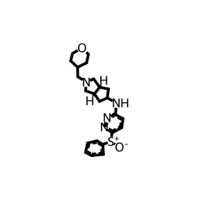 [O-][S+](c1ccccc1)c1ccc(NC2C[C@@H]3CN(CC4CCOCC4)C[C@@H]3C2)nn1